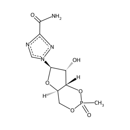 CP1(=O)OC[C@H]2O[C@@H](n3cnc(C(N)=O)n3)[C@H](O)[C@@H]2O1